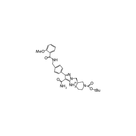 COc1ccccc1C(=O)NCc1ccc(-c2nn(C[C@@H]3CCCN(C(=O)OC(C)(C)C)C3)c(N)c2C(N)=O)cc1